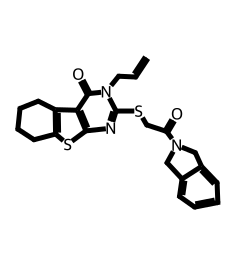 C=CCn1c(SCC(=O)N2Cc3ccccc3C2)nc2sc3c(c2c1=O)CCCC3